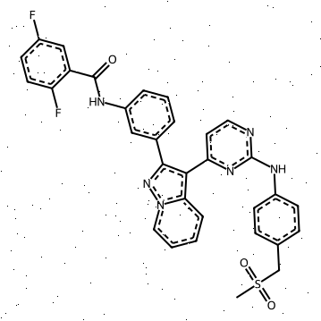 CS(=O)(=O)Cc1ccc(Nc2nccc(-c3c(-c4cccc(NC(=O)c5cc(F)ccc5F)c4)nn4ccccc34)n2)cc1